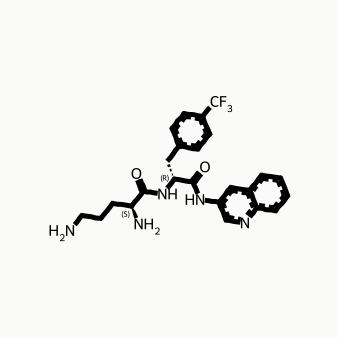 NCCC[C@H](N)C(=O)N[C@H](Cc1ccc(C(F)(F)F)cc1)C(=O)Nc1cnc2ccccc2c1